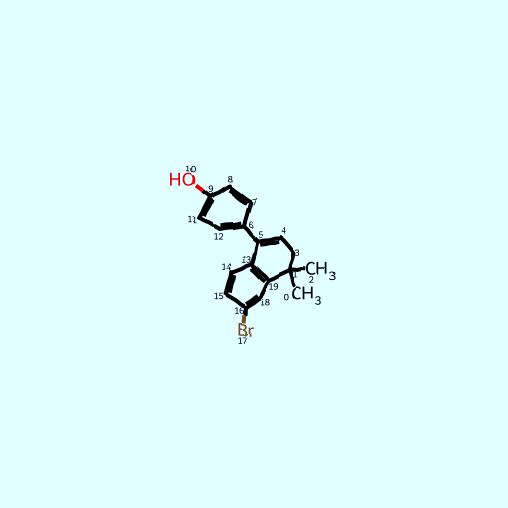 CC1(C)CC=C(c2ccc(O)cc2)c2ccc(Br)cc21